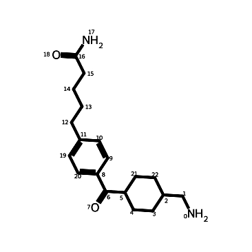 NCC1CCC(C(=O)c2ccc(CCCCC(N)=O)cc2)CC1